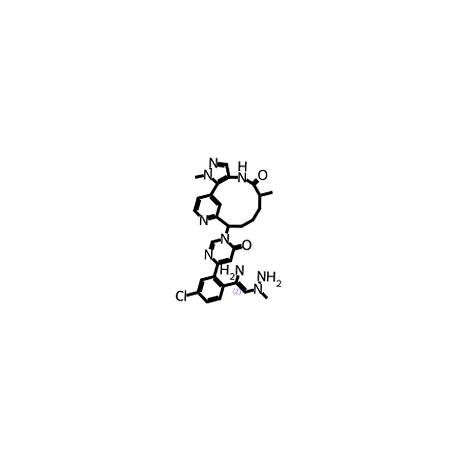 CC1CCCC(n2cnc(-c3cc(Cl)ccc3/C(N)=C/N(C)N)cc2=O)c2cc(ccn2)-c2c(cnn2C)NC1=O